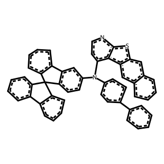 c1ccc(-c2ccc(N(c3ccc4c(c3)-c3ccccc3C43c4ccccc4-c4ccccc43)c3ccnc4sc5cc6ccccc6cc5c34)cc2)cc1